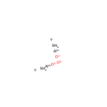 [Al+3].[Al+3].[O-2].[O-2].[O-2].[SiH4].[SiH4].[Y].[Y]